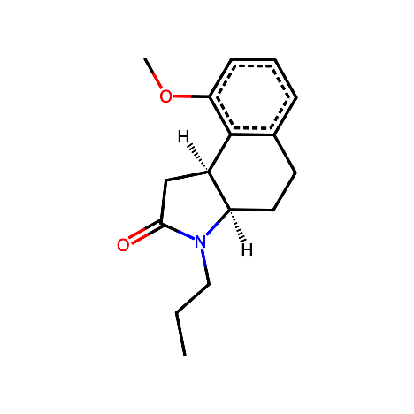 CCCN1C(=O)C[C@H]2c3c(cccc3OC)CC[C@H]21